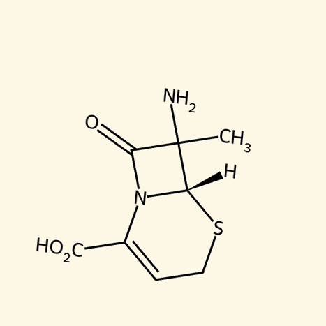 CC1(N)C(=O)N2C(C(=O)O)=CCS[C@H]21